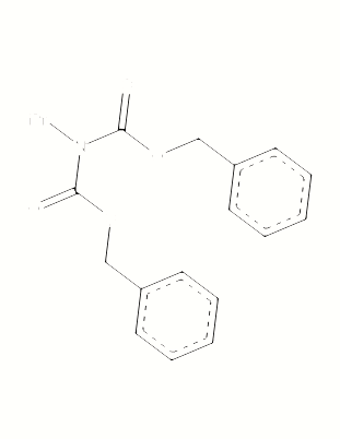 CC(C)N(C(=O)OCc1ccccc1)C(=O)OCc1ccccc1